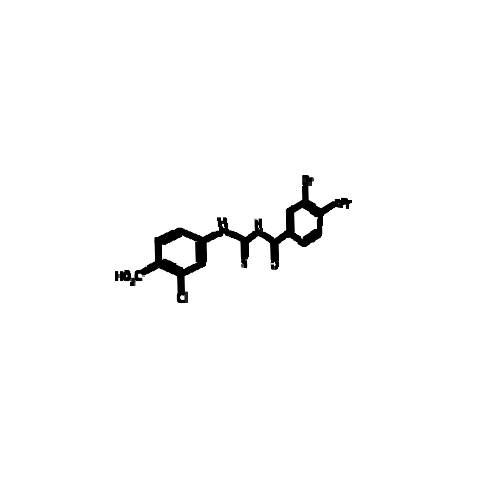 CCCc1ccc(C(=O)NC(=S)Nc2ccc(C(=O)O)c(Cl)c2)cc1Br